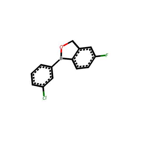 Fc1ccc2c(c1)COB2c1cccc(Cl)c1